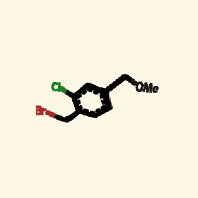 COCc1ccc(CBr)c(Cl)c1